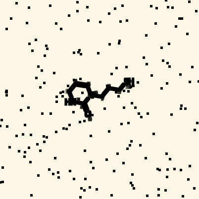 O=C1NCC=CN1CCCS